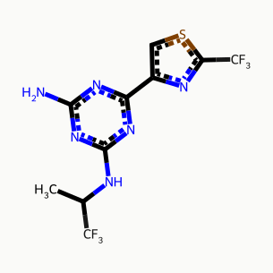 CC(Nc1nc(N)nc(-c2csc(C(F)(F)F)n2)n1)C(F)(F)F